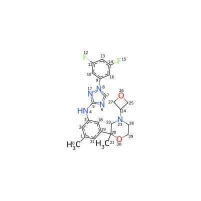 Cc1cc(Nc2ncn(-c3cc(F)cc(F)c3)n2)cc(C2(C)CN(C3COC3)CCO2)c1